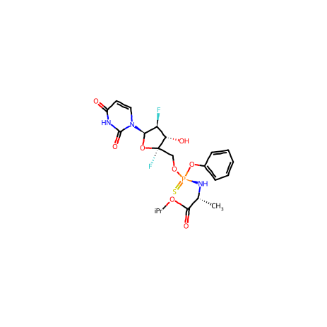 CC(C)OC(=O)[C@@H](C)N[P@@](=S)(OC[C@@]1(F)O[C@@H](n2ccc(=O)[nH]c2=O)[C@@H](F)[C@@H]1O)Oc1ccccc1